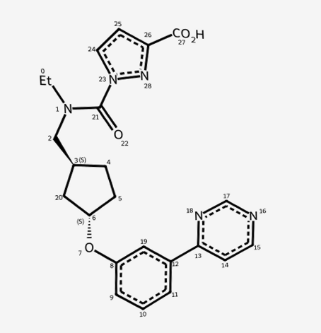 CCN(C[C@H]1CC[C@H](Oc2cccc(-c3ccncn3)c2)C1)C(=O)n1ccc(C(=O)O)n1